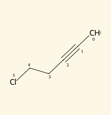 [CH]C#CCCCl